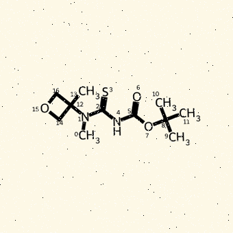 CN(C(=S)NC(=O)OC(C)(C)C)C1(C)COC1